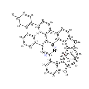 C=N/C(=N\C(=N/Cc1ccccc1)c1cccc2oc3ccccc3c12)c1c(-c2ccc(C3=CCC(C)C=C3)cc2)ccc2oc3ccccc3c12